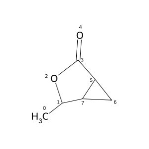 CC1OC(=O)C2CC12